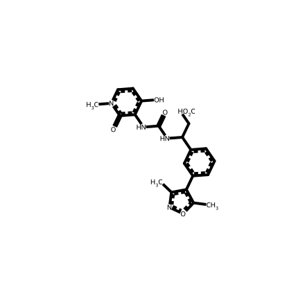 Cc1noc(C)c1-c1cccc(C(CC(=O)O)NC(=O)Nc2c(O)ccn(C)c2=O)c1